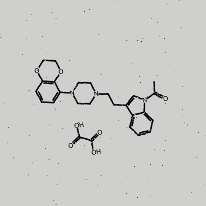 CC(=O)n1cc(CCN2CCN(c3cccc4c3OCCO4)CC2)c2ccccc21.O=C(O)C(=O)O